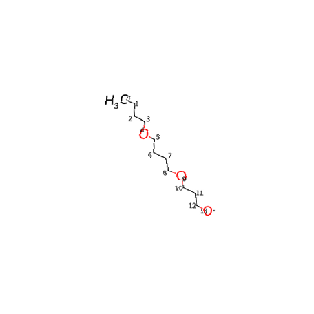 CCCCOCCCCOCCC[O]